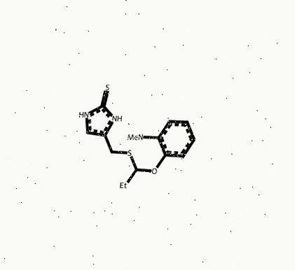 CCC(Oc1ccccc1NC)SCc1c[nH]c(=S)[nH]1